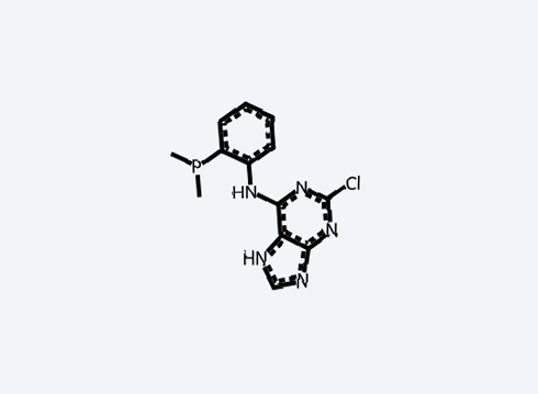 CP(C)c1ccccc1Nc1nc(Cl)nc2nc[nH]c12